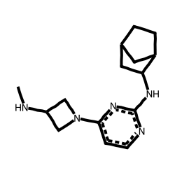 CNC1CN(c2ccnc(NC3CC4CCC3C4)n2)C1